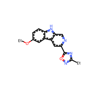 CCOc1ccc2[nH]c3cnc(-c4nc(CC)no4)cc3c2c1